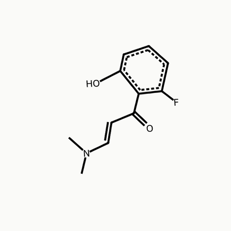 CN(C)C=CC(=O)c1c(O)cccc1F